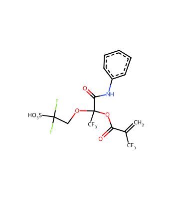 C=C(C(=O)OC(OCC(F)(F)S(=O)(=O)O)(C(=O)Nc1ccccc1)C(F)(F)F)C(F)(F)F